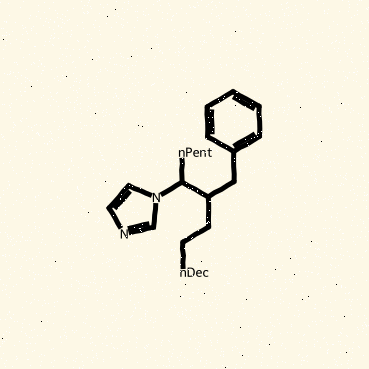 CCCCCCCCCCCCC(Cc1ccccc1)C(CCCCC)n1ccnc1